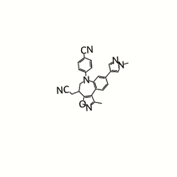 Cc1noc2c1-c1ccc(-c3cnn(C)c3)cc1N(c1ccc(C#N)cc1)CC2CC#N